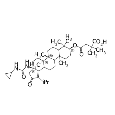 CC(C)C1=C2C3CCC4C5(C)CC[C@H](OC(=O)CC(C)(C)C(=O)O)C(C)(C)C5CC[C@@]4(C)[C@]3(C)CC[C@@]2(NC(=O)NC2CC2)CC1=O